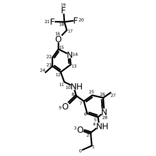 CCC(=O)Nc1cc(C(=O)NCc2cnc(OCC(F)(F)F)cc2C)cc(C)n1